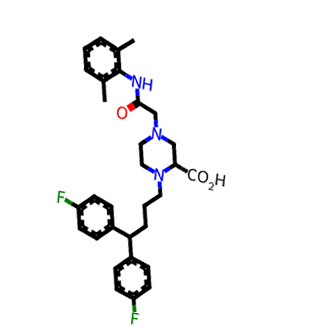 Cc1cccc(C)c1NC(=O)CN1CCN(CCCC(c2ccc(F)cc2)c2ccc(F)cc2)C(C(=O)O)C1